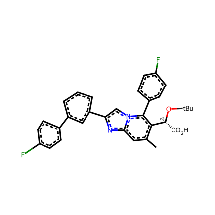 Cc1cc2nc(-c3cccc(-c4ccc(F)cc4)c3)cn2c(-c2ccc(F)cc2)c1[C@H](OC(C)(C)C)C(=O)O